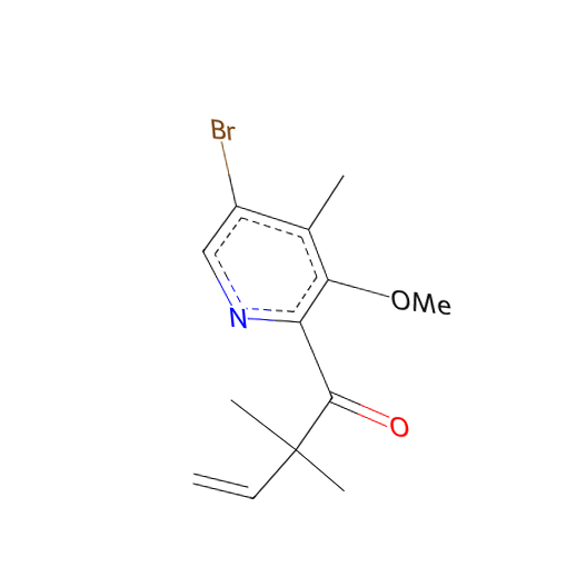 C=CC(C)(C)C(=O)c1ncc(Br)c(C)c1OC